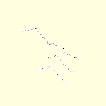 CCCCCCCCCCCCSCCC(=O)OC(C)OC(=O)CCSCCCCCCCCCCCC.CCCCCCCCCCCCSCCC(=O)OCOC(=O)CCSCCCCCCCCCCCC.CCCCCCCCCCCCSCCC(=O)OCOC(=O)CCSCCCCCCCCCCCC.CCCCCCCCCCCCSCCC(=O)OCOC(=O)CCSCCCCCCCCCCCC